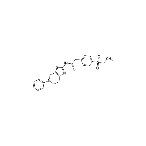 CCS(=O)(=O)c1ccc(CC(=O)Nc2nc3c(s2)CN(c2ccccc2)CC3)cc1